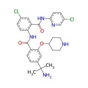 CC(C)(N)c1ccc(C(=O)Nc2ccc(Cl)cc2C(=O)Nc2ccc(Cl)cn2)c(OC2CCNCC2)c1